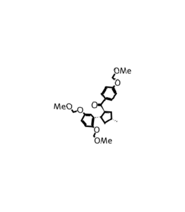 COCOc1ccc(C(=O)[C@H]2C[C@H](C)C[C@@H]2c2cc(OCOC)ccc2OCOC)cc1